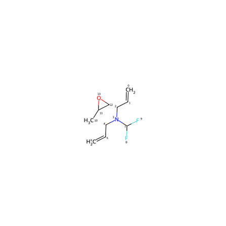 C=CCN(CC=C)C(F)F.CC1CO1